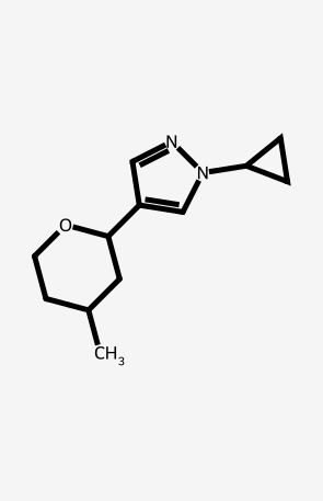 CC1CCOC(c2cnn(C3CC3)c2)C1